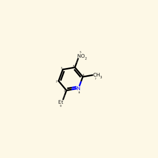 CCc1ccc([N+](=O)[O-])c(C)n1